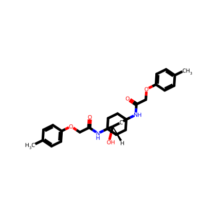 Cc1ccc(OCC(=O)NC23CCC(NC(=O)COc4ccc(C)cc4)(CC2)[C@@H](O)C3)cc1